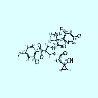 N#CC1(NC(=O)[C@@H]2CC(S(=O)(=O)c3ccc(F)cc3Cl)CN2C(=O)C2(c3ncc(Cl)cc3F)CCN2)CC1